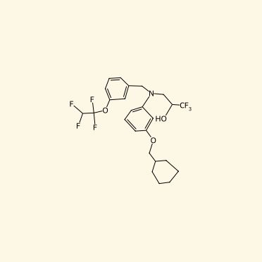 OC(CN(Cc1cccc(OC(F)(F)C(F)F)c1)c1cccc(OCC2CCCCC2)c1)C(F)(F)F